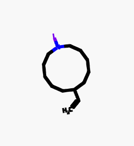 C=CC1CCCCCN(I)CCCCC1